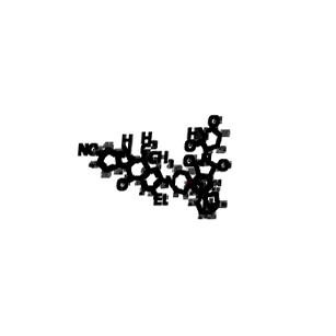 CCc1cc2c(cc1N1CCC(CN3CC4CC(C3)N4c3ccc4c(c3)C(=O)N(C3CCC(=O)NC3=O)C4=O)CC1)C(C)(C)c1[nH]c3cc(C#N)ccc3c1C2=O